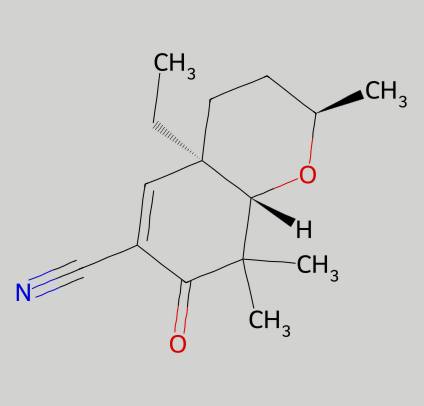 CC[C@@]12C=C(C#N)C(=O)C(C)(C)[C@H]1O[C@H](C)CC2